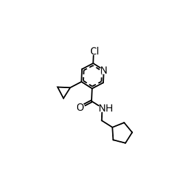 O=C(NCC1CCCC1)c1cnc(Cl)cc1C1CC1